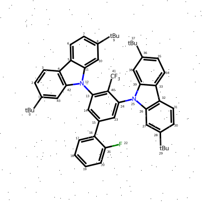 CC(C)(C)c1ccc2c3ccc(C(C)(C)C)cc3n(-c3cc(-c4ccccc4F)cc(-n4c5cc(C(C)(C)C)ccc5c5ccc(C(C)(C)C)cc54)c3C(F)(F)F)c2c1